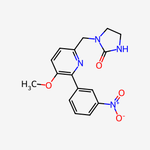 COc1ccc(CN2CCNC2=O)nc1-c1cccc([N+](=O)[O-])c1